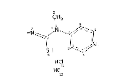 CN(C(=N)S)c1ccncc1.Cl.Cl